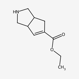 CCOC(=O)C1=CC2CNCC2C1